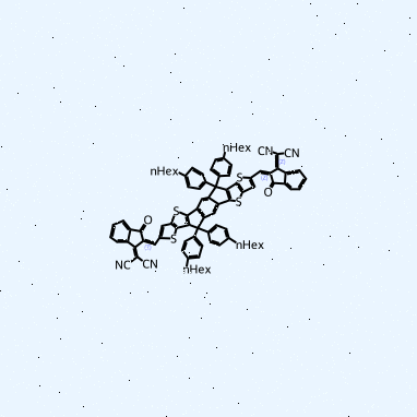 [C-]#[N+]/C(C#N)=C1\C(=C\c2cc3sc4c(c3s2)C(c2ccc(CCCCCC)cc2)(c2ccc(CCCCCC)cc2)c2cc3c(cc2-4)C(c2ccc(CCCCCC)cc2)(c2ccc(CCCCCC)cc2)c2c-3sc3cc(/C=C4\C(=O)c5ccccc5C4=C(C#N)C#N)sc23)C(=O)c2ccccc21